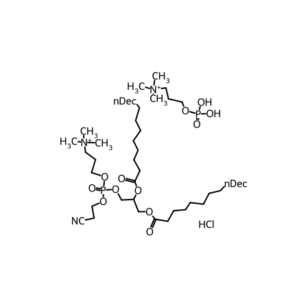 CCCCCCCCCCCCCCCCCC(=O)OCC(COP(=O)(OCCC#N)OCCC[N+](C)(C)C)OC(=O)CCCCCCCCCCCCCCCCC.C[N+](C)(C)CCCOP(=O)(O)O.Cl